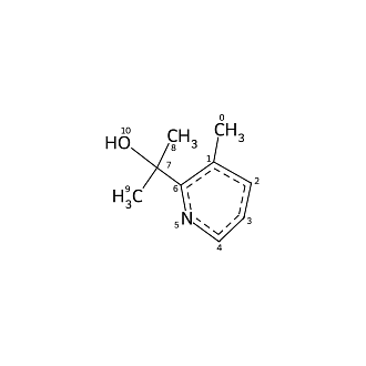 Cc1cccnc1C(C)(C)O